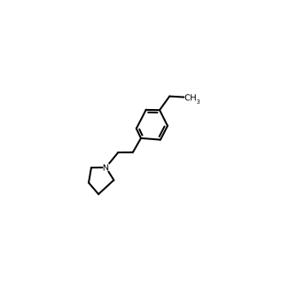 CCc1ccc(CCN2CCCC2)cc1